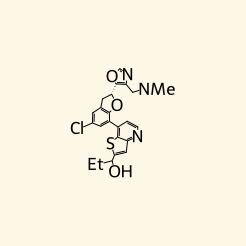 CCC(O)c1cc2nccc(-c3cc(Cl)cc4c3O[C@@H](c3ocnc3CNC)C4)c2s1